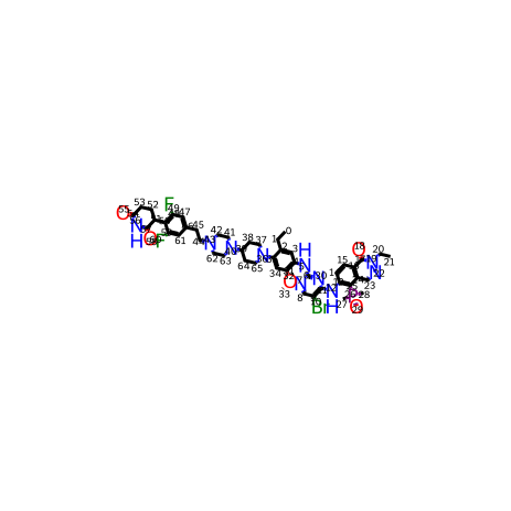 CCc1cc(Nc2ncc(Br)c(Nc3ccc4c(=O)n(CC)ncc4c3P(C)(C)=O)n2)c(OC)cc1N1CCC(N2CCN(CCc3cc(F)c(C4CCC(=O)NC4=O)c(F)c3)CC2)CC1